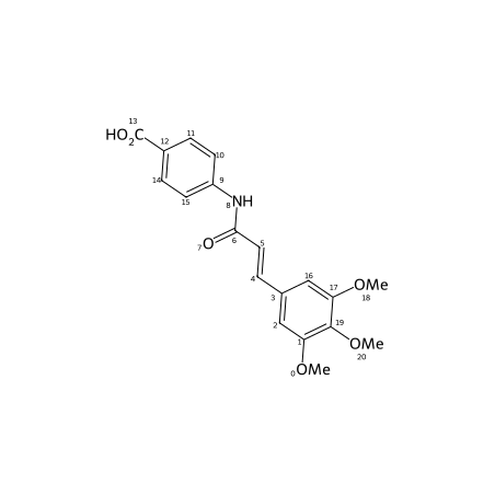 COc1cc(C=CC(=O)Nc2ccc(C(=O)O)cc2)cc(OC)c1OC